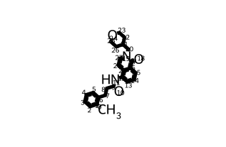 Cc1ccccc1CCC(=O)Nc1cccc2c(=O)n(CC3CCOCC3)ccc12